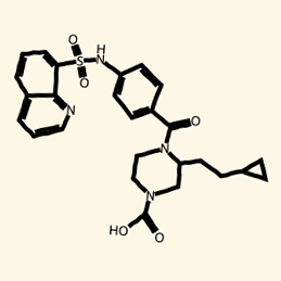 O=C(O)N1CCN(C(=O)c2ccc(NS(=O)(=O)c3cccc4cccnc34)cc2)C(CCC2CC2)C1